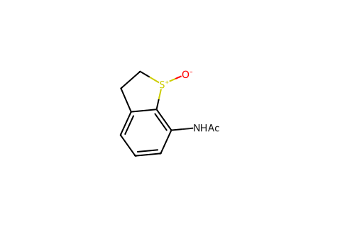 CC(=O)Nc1cccc2c1[S+]([O-])CC2